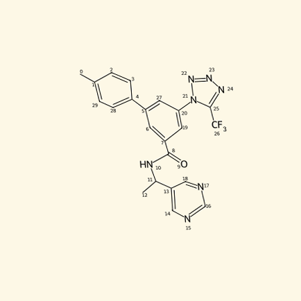 Cc1ccc(-c2cc(C(=O)NC(C)c3cncnc3)cc(-n3nnnc3C(F)(F)F)c2)cc1